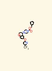 O=C(OCc1ccccc1)N1CCN(C2CCOc3ccc(Oc4ccc(C(F)(F)F)cn4)cc32)CC1